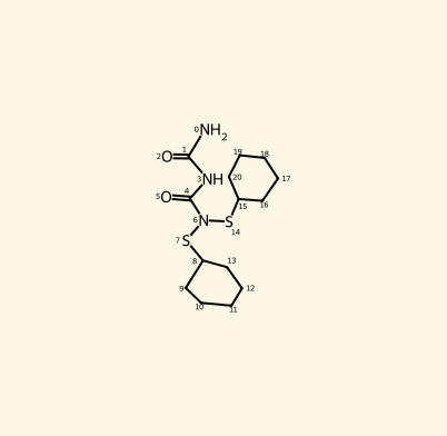 NC(=O)NC(=O)N(SC1CCCCC1)SC1CCCCC1